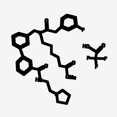 COC(=O)CCCCCN(Cc1cccc(-c2cccc(C(=O)NCCN3CCCC3)c2)c1)C(=O)Cc1cccc(F)c1.O=C(O)C(F)(F)F